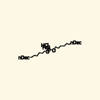 CCCCCCCCCCCCCCCC[O][Ti][O]CCCCCCCCCCCCCCCC.Cl.Cl